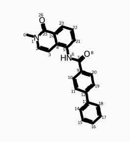 Cn1ccc2c(NC(=O)c3ccc(-c4ccccc4)cc3)cccc2c1=O